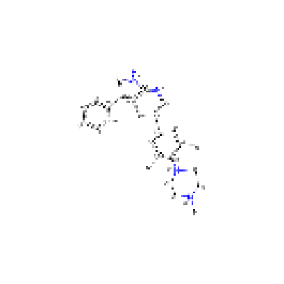 Cc1cc(-c2cnc3[nH]cc(-c4cc[c]cc4)c3c2)cc(C)c1N1CCN(C)CC1